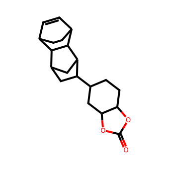 O=C1OC2CCC(C3CC4CC3C3C5C=CC(CC5)C43)CC2O1